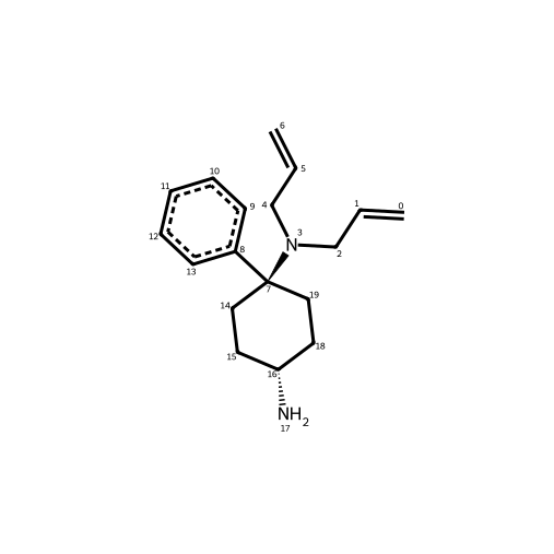 C=CCN(CC=C)[C@]1(c2ccccc2)CC[C@@H](N)CC1